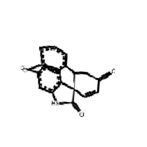 O=C1C=C[C@@]2(C(=O)Nc3cc(Cl)ccc32)C(c2cccc(Cl)c2)C1